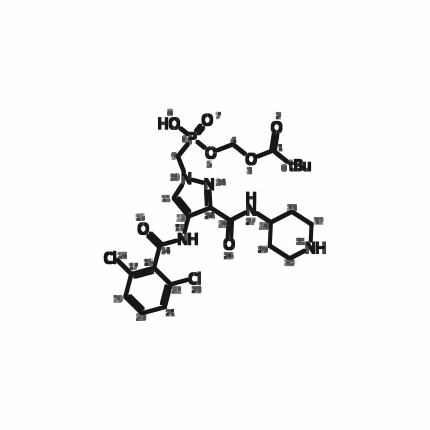 CC(C)(C)C(=O)OCOP(=O)(O)Cn1cc(NC(=O)c2c(Cl)cccc2Cl)c(C(=O)NC2CCNCC2)n1